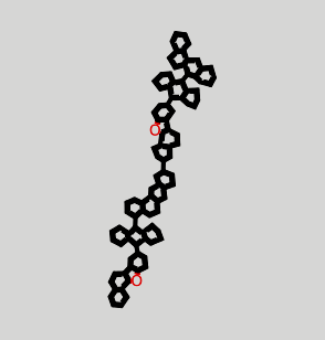 c1ccc2c(-c3c4ccccc4c(-c4ccc5oc6c7ccc(-c8ccc9cc%10ccc%11c(-c%12c%13ccccc%13c(-c%13ccc%14oc%15c%16ccccc%16ccc%15c%14c%13)c%13ccccc%12%13)cccc%11c%10cc9c8)cc7ccc6c5c4)c4ccccc34)c3ccc4ccccc4c3cc2c1